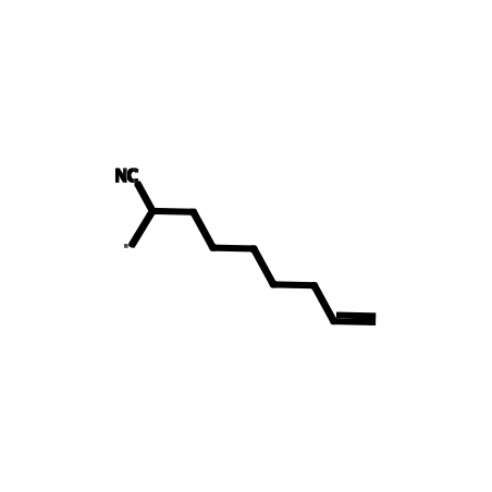 [CH2]C(C#N)CCCCCC=C